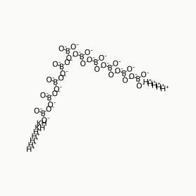 [H+].[H+].[H+].[H+].[H+].[H+].[H+].[H+].[H+].[H+].[KH].[KH].[O-]B([O-])[O-].[O-]B([O-])[O-].[O-]B([O-])[O-].[O-]B([O-])[O-].[O-]B([O-])[O-].[O-]B([O-])[O-].[O-]B([O-])[O-].[O-]B([O-])[O-].[O-]B([O-])[O-].[O-]B([O-])[O-]